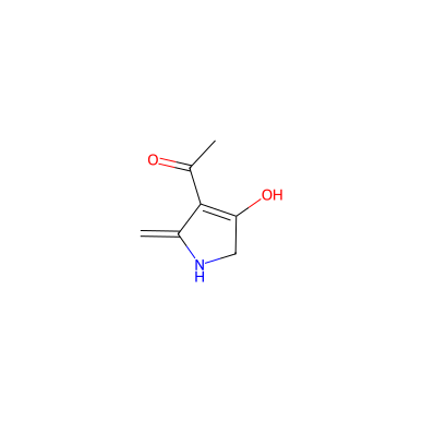 C=C1NCC(O)=C1C(C)=O